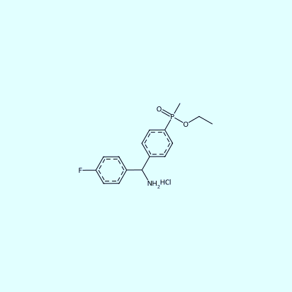 CCOP(C)(=O)c1ccc(C(N)c2ccc(F)cc2)cc1.Cl